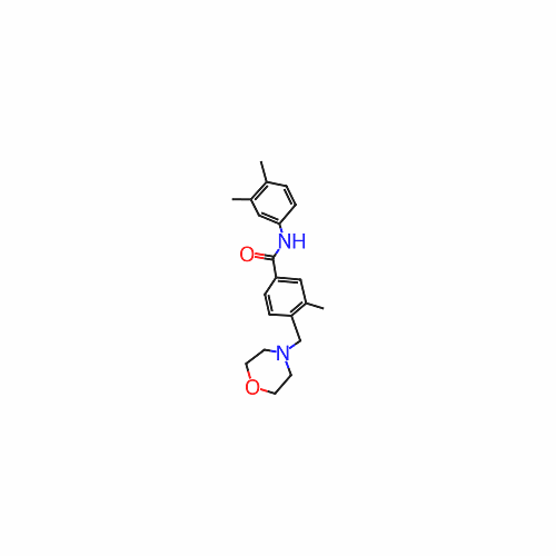 Cc1ccc(NC(=O)c2ccc(CN3CCOCC3)c(C)c2)cc1C